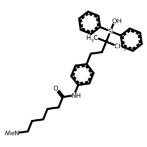 CNCCCCCC(=O)Nc1ccc(CCC(C)(C)[Si](O)(c2ccccc2)c2ccccc2)cc1